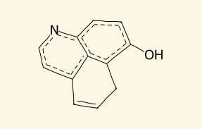 Oc1ccc2nccc3c2c1CC=C3